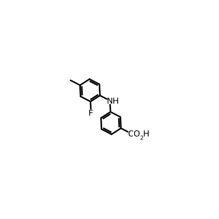 Cc1ccc(Nc2cccc(C(=O)O)c2)c(F)c1